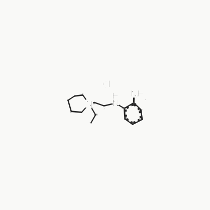 CC[N+]1(CCNc2ccccc2N)CCCCC1.[Cl-]